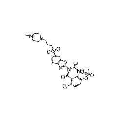 CN1CCN(CCCS(=O)(=O)c2ccc3nc(N(C(N)=O)C(=O)c4cc(OS(C)(=O)=O)ccc4Cl)sc3c2)CC1